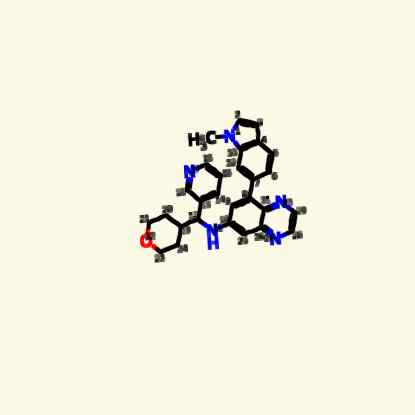 Cn1ccc2ccc(-c3cc(NC(c4cccnc4)C4CCOCC4)cc4nccnc34)cc21